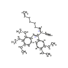 C=CCCCC/N=C(C#N)\C(=C\c1ccc(OC)c(OC)c1OC)c1ccc(OC)c(OC)c1